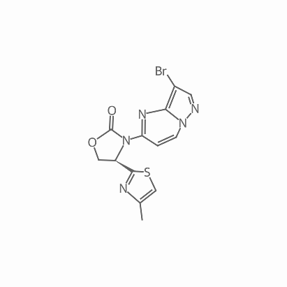 Cc1csc([C@H]2COC(=O)N2c2ccn3ncc(Br)c3n2)n1